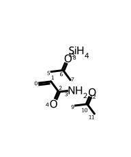 C=CC(N)=O.CC(C)=O.CC(C)=O.[SiH4]